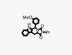 COc1cccc(C2c3[nH]c4ccccc4c3CC3C(=O)N(C(C)C)C(=O)N32)c1